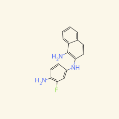 Nc1ccc(Nc2ccc3ccccc3c2N)cc1F